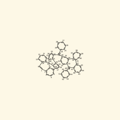 C1=Cc2ccccc2C2(c3ccccc31)c1ccccc1-c1c(N(c3ccccc3)c3ccc4c(c3)-c3ccccc3-c3ccccc3N4c3ccccc3)cccc12